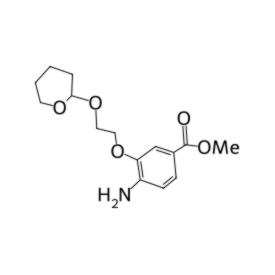 COC(=O)c1ccc(N)c(OCCOC2CCCCO2)c1